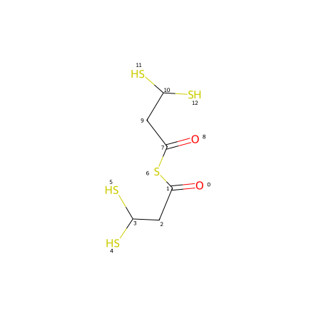 O=C(CC(S)S)SC(=O)CC(S)S